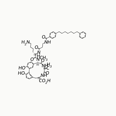 C[C@@H]1NC(=O)[C@@H](N(C)C(=O)[C@H](CCCCN)NC(=O)CCNC(=O)c2ccc(CCCCCCCc3ccccc3)cc2)c2ccc(O)c(c2)-c2cc(ccc2O)C[C@@H](C(=O)O)NC1=O